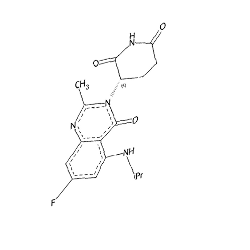 Cc1nc2cc(F)cc(NC(C)C)c2c(=O)n1[C@H]1CCC(=O)NC1=O